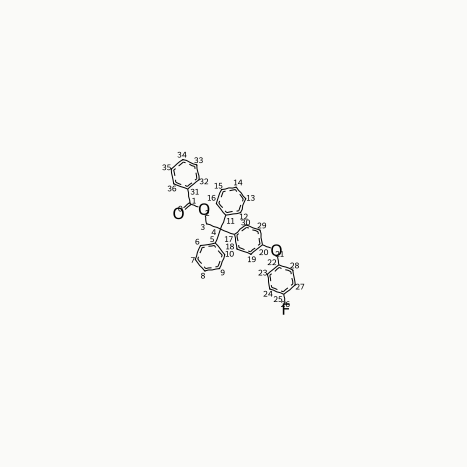 O=C(OCC(c1ccccc1)(c1ccccc1)c1ccc(Oc2ccc(F)cc2)cc1)c1ccccc1